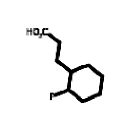 O=C(O)CCC1CCCCC1F